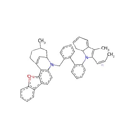 C/C=C\C1=C(C)C2=CC=CCC2N1c1ccccc1-c1ccccc1CN1c2ccc3c(oc4ccccc43)c2C2=CC1CC(C)CC2